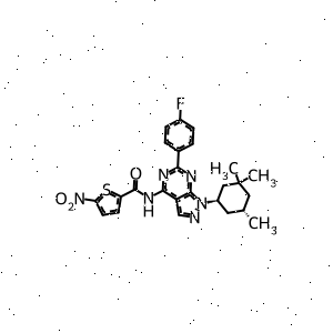 C[C@@H]1C[C@@H](n2ncc3c(NC(=O)c4ccc([N+](=O)[O-])s4)nc(-c4ccc(F)cc4)nc32)CC(C)(C)C1